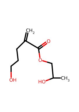 C=C(CCCO)C(=O)OCC(C)O